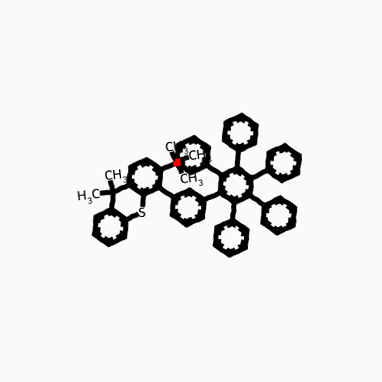 CC(C)(C)c1ccc2c(c1-c1cccc(-c3c(-c4ccccc4)c(-c4ccccc4)c(-c4ccccc4)c(-c4ccccc4)c3-c3ccccc3)c1)Sc1ccccc1C2(C)C